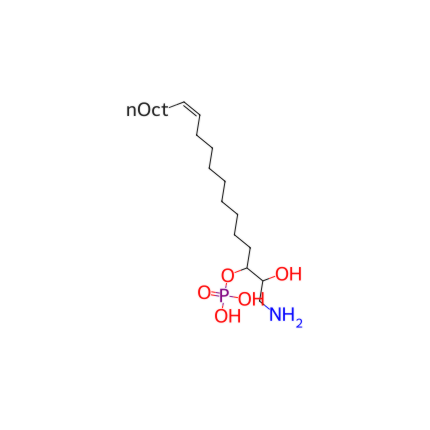 CCCCCCCC/C=C\CCCCCCCCC(OP(=O)(O)O)C(O)CN